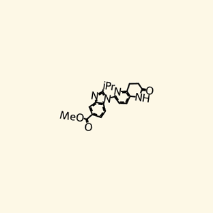 COC(=O)c1ccc2c(c1)nc(C(C)C)n2-c1ccc2c(n1)CCC(=O)N2